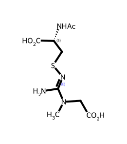 CC(=O)N[C@H](CS/N=C(\N)N(C)CC(=O)O)C(=O)O